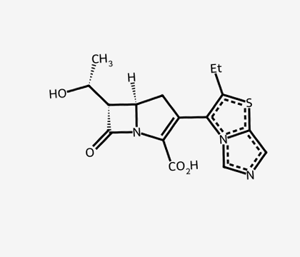 CCc1sc2cncn2c1C1=C(C(=O)O)N2C(=O)[C@H]([C@@H](C)O)[C@H]2C1